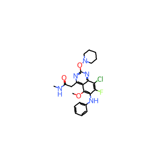 CNC(=O)Cc1nc(ON2CCCCC2)nc2c(Cl)c(F)c(Nc3ccccc3)c(OC)c12